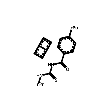 CCCNC(=S)NC(=O)c1ccc(C(C)(C)C)cc1.c1cc2ccc1-2